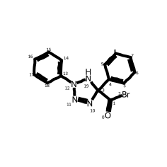 O=C(Br)C1(c2ccccc2)N=NN(c2ccccc2)N1